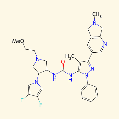 COCCN1CC(NC(=O)Nc2c(C)c(-c3cnc4c(c3)CN(C)C4)nn2-c2ccccc2)C(n2cc(F)c(F)c2)C1